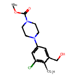 CC(C)(C)OC(=O)N1CCN(c2cc(Cl)c(C(=O)O)c(CO)c2)CC1